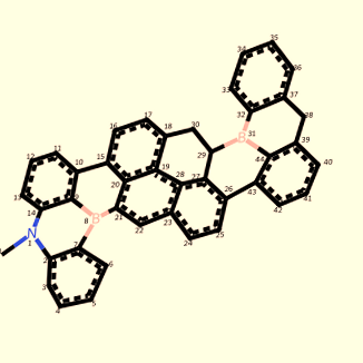 CN1c2ccccc2B2c3c(cccc31)-c1ccc3c4c1c2cc1ccc2c(c14)C(C3)B1c3ccccc3Cc3cccc-2c31